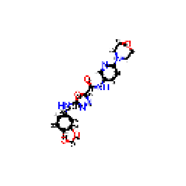 O=C(Nc1ccc(N2CCOCC2)nc1)c1nnc(Nc2ccc3c(c2)OCO3)o1